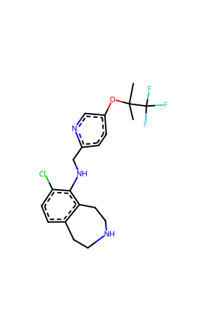 CC(C)(Oc1ccc(CNc2c(Cl)ccc3c2CCNCC3)nc1)C(F)(F)F